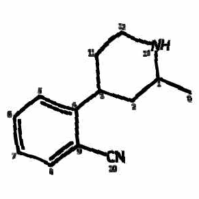 CC1CC(c2ccccc2C#N)CCN1